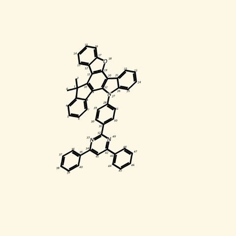 CC1(C)c2ccccc2-c2c1c1c3ccccc3oc1c1c3ccccc3n(-c3ccc(-c4nc(-c5ccccc5)cc(-c5ccccc5)n4)cc3)c21